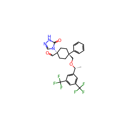 C[C@@H](OC[C@]1(c2ccccc2)CC[C@@](C=O)(n2cn[nH]c2=O)CC1)c1cc(C(F)(F)F)cc(C(F)(F)F)c1